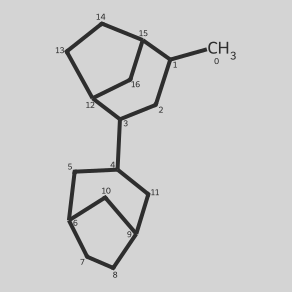 CC1CC(C2CC3CCC(C3)C2)C2CCC1C2